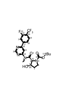 CN(C(=O)[C@@H]1[C@H](O)CCN1C(=O)OC(C)(C)C)c1cc(-c2ccc(C(F)(F)F)c(F)c2)ncn1